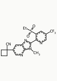 CCS(=O)(=O)c1cc(C(F)(F)F)cnc1-c1nc2cc(C3(C#N)CCC3)cnc2n1C